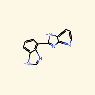 [c]1nc2c(-c3nc4ncccc4[nH]3)cccc2[nH]1